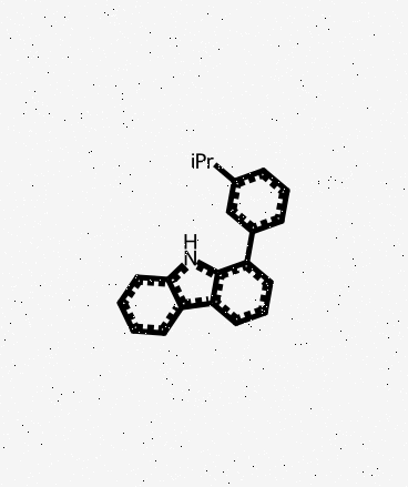 CC(C)c1cccc(-c2cccc3c2[nH]c2ccccc23)c1